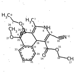 CCOC(=O)C1=C(C)NC(C#N)=C(C(=O)OCC)C1c1ccccc1C(=O)OC